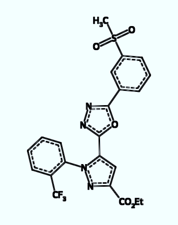 CCOC(=O)c1cc(-c2nnc(-c3cccc(S(C)(=O)=O)c3)o2)n(-c2ccccc2C(F)(F)F)n1